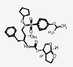 CC(C)Oc1ccc(S(=O)(=O)N(C[C@H](O)[C@H](Cc2ccccc2)NC(=O)O[C@H]2CO[C@H]3OCC[C@H]32)OC2CCCC2)cc1